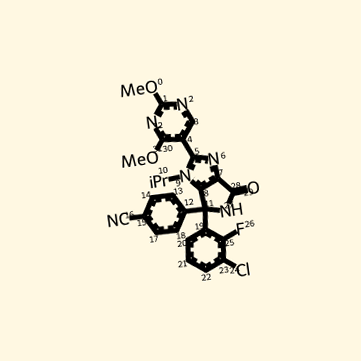 COc1ncc(-c2nc3c(n2C(C)C)C(c2ccc(C#N)cc2)(c2cccc(Cl)c2F)NC3=O)c(OC)n1